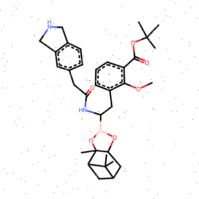 COc1c(CC(NC(=O)Cc2ccc3c(c2)CNC3)B2OC3CC4CC(C4(C)C)C3(C)O2)cccc1C(=O)OC(C)(C)C